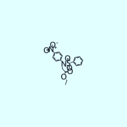 CCOC(=O)CN(c1ccc([N+](=O)[O-])cc1)S(=O)(=O)c1ccccc1